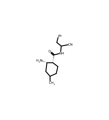 CC(C)CC(C#N)NC(=O)[C@@H]1CCC(C)C[C@@H]1N